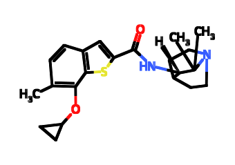 Cc1ccc2cc(C(=O)N[C@H]3C4CCN(CC4)C3(C)C)sc2c1OC1CC1